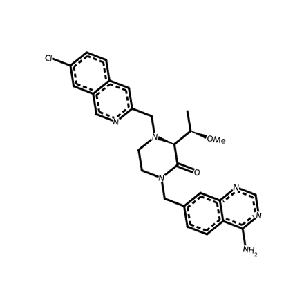 CO[C@H](C)[C@H]1C(=O)N(Cc2ccc3c(N)ncnc3c2)CCN1Cc1cc2ccc(Cl)cc2cn1